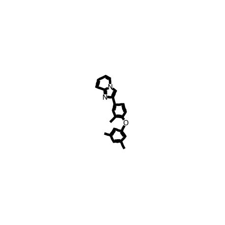 Cc1cc(C)cc(Oc2ccc(-c3cn4ccccc4n3)cc2C)c1